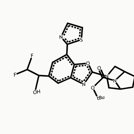 CC(C)(C)OC(=O)N1C2CCC1CN(c1nc3cc(C(O)C(F)F)cc(-c4nccs4)c3o1)C2